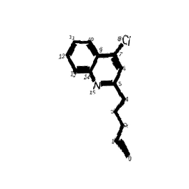 C=CCCCc1cc(Cl)c2ccccc2n1